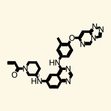 C=CC(=O)N1CCC[C@@H](Nc2ccc3ncnc(Nc4ccc(Oc5cc6nncn6cn5)c(C)c4)c3c2)C1